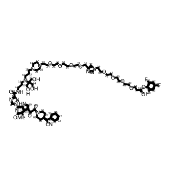 COc1cnc(-n2cnc(C(=O)NCCCN(CCCN3CCN(CCOCCOCCOCCOCc4cn(CCOCCOCCOCCOCCC(=O)Oc5c(F)cc(F)cc5F)nn4)CC3)C(CO)(CO)CO)n2)c2[nH]cc(C(=O)C(=O)N3CCC(=C(C#N)c4ccccc4)CC3)c12